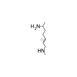 CNC/C=C/CCC(C)N